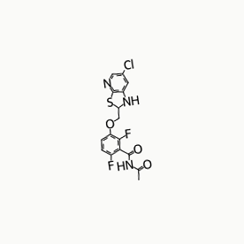 CC(=O)NC(=O)c1c(F)ccc(OCC2Nc3cc(Cl)cnc3S2)c1F